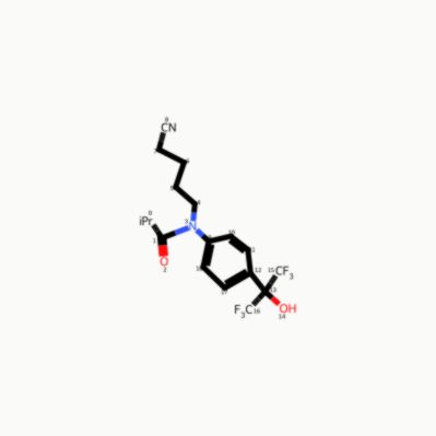 CC(C)C(=O)N(CCCCC#N)c1ccc(C(O)(C(F)(F)F)C(F)(F)F)cc1